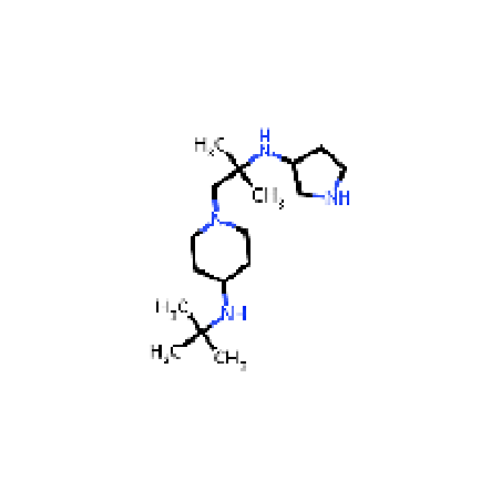 CC(C)(C)NC1CCN(CC(C)(C)NC2CCNC2)CC1